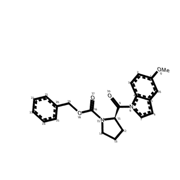 COc1ccc2c(ccn2C(=O)[C@H]2CCCN2C(=O)OCc2ccccc2)c1